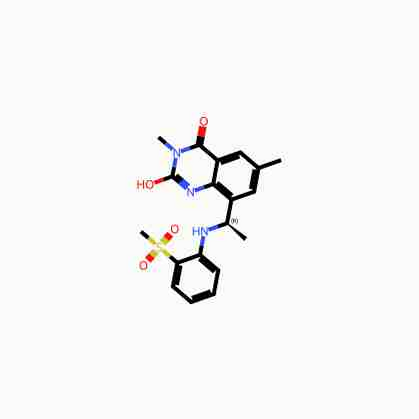 Cc1cc([C@@H](C)Nc2ccccc2S(C)(=O)=O)c2nc(O)n(C)c(=O)c2c1